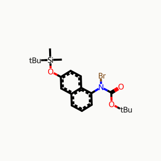 CC(C)(C)OC(=O)N(Br)c1cccc2cc(O[Si](C)(C)C(C)(C)C)ccc12